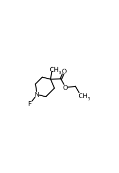 CCOC(=O)C1(C)CCN(F)CC1